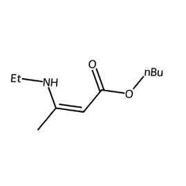 CCCCOC(=O)/C=C(/C)NCC